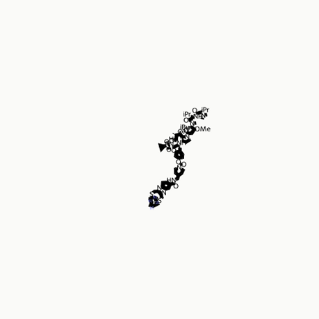 CC[C@H](C)[C@@H]([C@@H](CC(=O)N1CCC[C@H]1[C@H](OC)[C@@H](C)C(=O)N[C@@H](Cc1ccc(OC(=O)N2CCC(CNC(=O)c3ccc4nc5c(nc4c3)CSC3=C\C=C/C=C/C(=C\3)SC5)CC2)cc1)C(=O)NS(=O)(=O)C1CC1)OC)N(C)C(=O)[C@@H](NC(=O)[C@H](C(C)C)N(C)C)C(C)C